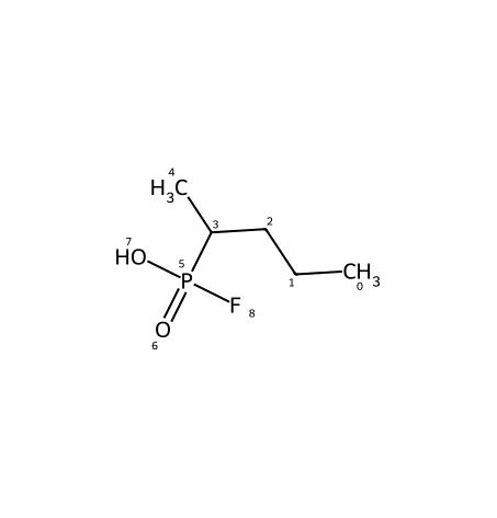 CCCC(C)P(=O)(O)F